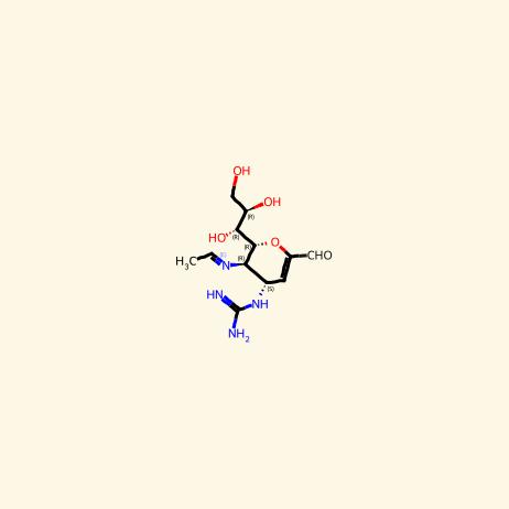 C/C=N/[C@H]1[C@H]([C@H](O)[C@H](O)CO)OC(C=O)=C[C@@H]1NC(=N)N